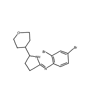 Brc1ccc(/N=C2/CCC(C3CCOCC3)N2)c(Br)c1